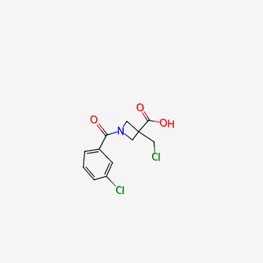 O=C(c1cccc(Cl)c1)N1CC(CCl)(C(=O)O)C1